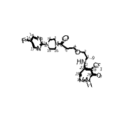 C[C@@H](COCCC(=O)N1CCN(c2ncc(F)cn2)CC1)Nc1cn[nH]c(=O)c1C(F)(F)F